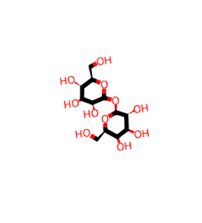 OC[C@H]1O[C@@H](OC2O[C@H](CO)[C@@H](O)[C@H](O)[C@H]2O)[C@H](O)[C@@H](O)[C@H]1O